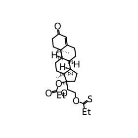 CCC(=O)O[C@]1(C(=O)COC(=S)CC)CC[C@H]2[C@@H]3CCC4=CC(=O)CC[C@]4(C)[C@H]3CC[C@@]21C